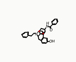 O=C(NC1CCC23OCC1C21CCN(CCc2ccccc2)C3Cc2ccc(O)cc21)c1ccccc1